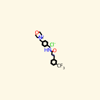 C[N+]1(Cc2ccc(CNC(=O)/C=C/c3cccc(C(F)(F)F)c3)cc2)CCOCC1.[Cl-]